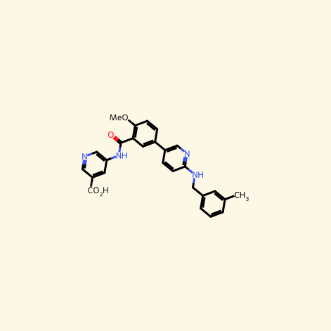 COc1ccc(-c2ccc(NCc3cccc(C)c3)nc2)cc1C(=O)Nc1cncc(C(=O)O)c1